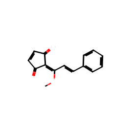 COC(C=Cc1ccccc1)=C1C(=O)C=CC1=O